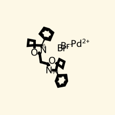 [Br-].[Br-].[Pd+2].c1ccc([C@H]2N=C(CC3=N[C@H](c4ccccc4)C4(CCC4)O3)OC23CCC3)cc1